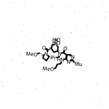 COCCCNc1nc(C(C)(C)C)ncc1C(=O)N(CC(C)C)[C@@H]1CNC[C@H](C(=O)N2CCC[C@@H]2COC)C1.Cl.Cl